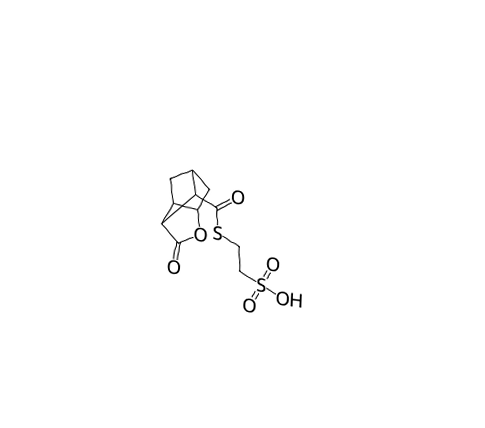 O=C(SCCS(=O)(=O)O)C1C2CC3OC(=O)C1C3C2